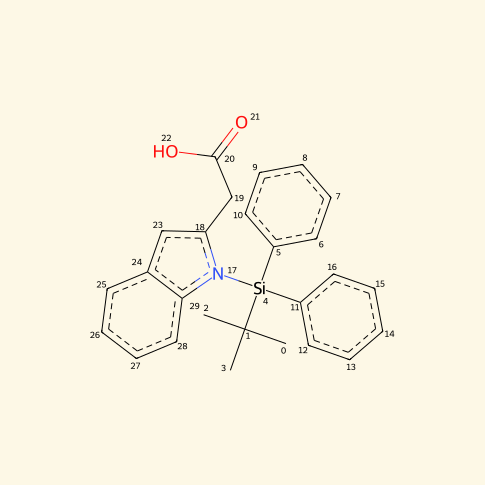 CC(C)(C)[Si](c1ccccc1)(c1ccccc1)n1c(CC(=O)O)cc2ccccc21